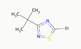 CC(C)(C)c1nsc(Br)n1